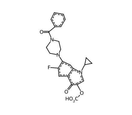 O=C(O)Oc1cn(C2CC2)c2cc(N3CCN(C(=O)c4ccccc4)CC3)c(F)cc2c1=O